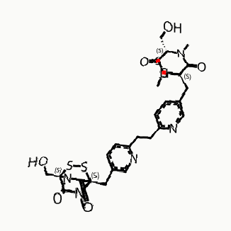 CN1C(=O)[C@]2(Cc3ccc(CCc4ccc(C[C@@]56SS[C@@](CO)(C(=O)N5C)N(C)C6=O)cn4)nc3)SS[C@@]1(CO)C(=O)N2C